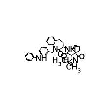 CC(C)CC(C(=O)NC1CCc2ccccc2N(Cc2cccc(Nc3ccccc3)c2)C1=O)C1(C(N)=O)CC=CC1